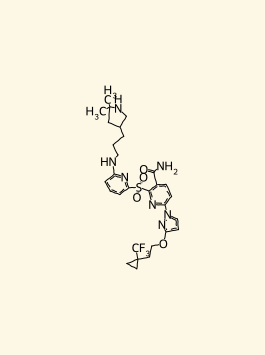 CC1(C)CC(CCCNc2cccc(S(=O)(=O)c3nc(-n4ccc(OCCC5(C(F)(F)F)CC5)n4)ccc3C(N)=O)n2)CN1